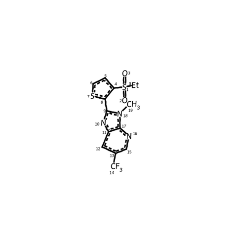 CCS(=O)(=O)c1ccsc1-c1nc2cc(C(F)(F)F)cnc2n1C